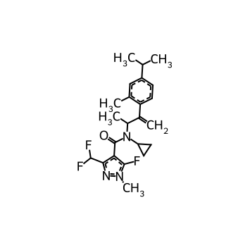 C=C(c1ccc(C(C)C)cc1C)C(C)N(C(=O)c1c(C(F)F)nn(C)c1F)C1CC1